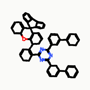 C1=CCCC(c2cccc(-c3nc(C4=C(C5CC=CC6=C5OC5CC=CC=C5C65c6ccccc6-c6ccccc65)C=CCC4)nc(C4C=CC=C(c5ccccc5)C4)n3)c2)=C1